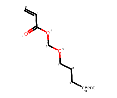 C=CC(=O)OCOCCCCCCCC